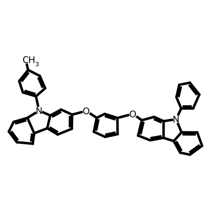 Cc1ccc(-n2c3ccccc3c3ccc(Oc4cccc(Oc5ccc6c7ccccc7n(-c7ccccc7)c6c5)c4)cc32)cc1